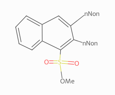 CCCCCCCCCc1cc2ccccc2c(S(=O)(=O)OC)c1CCCCCCCCC